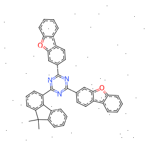 CC1(C)c2ccccc2-c2c(-c3nc(-c4ccc5c(c4)oc4ccccc45)nc(-c4ccc5c(c4)oc4ccccc45)n3)cccc21